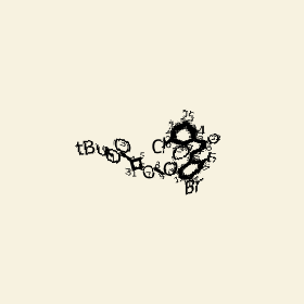 CC(C)(C)OC(=O)C1CC(OCCOc2cc(Br)cc(F)c2-c2cc(=O)c3cccc(Cl)c3o2)C1